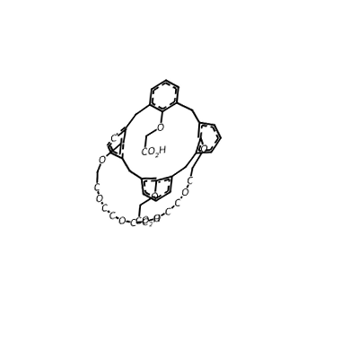 O=C(O)COc1c2cccc1Cc1cccc3c1OCCOCCOCCOCCOCCOc1c(cccc1Cc1cccc(c1OCC(=O)O)C3)C2